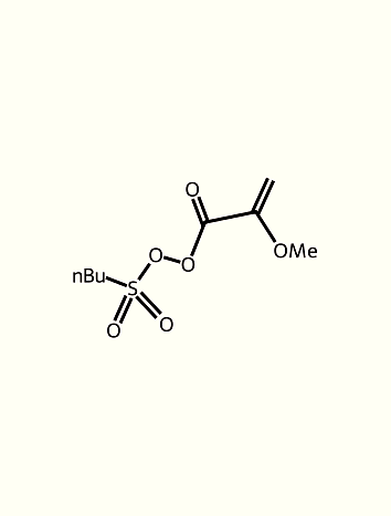 C=C(OC)C(=O)OOS(=O)(=O)CCCC